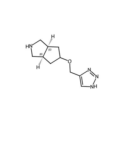 c1[nH]nnc1COC1C[C@H]2CNC[C@H]2C1